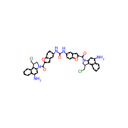 Nc1cc2c(c3ccccc13)C(CCl)CN2C(=O)c1cc2cc(NC(=O)Nc3ccc4oc(C(=O)N5CC(CCl)c6c5cc(N)c5ccccc65)cc4c3)ccc2o1